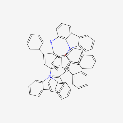 c1ccc(-c2ccccc2-n2c3ccccc3c3cccc(-n4c5ccccc5c5cc(-n6c7ccccc7c7ccccc76)c([Si](c6ccccc6)(c6ccccc6)c6ccccc6)cc54)c32)cc1